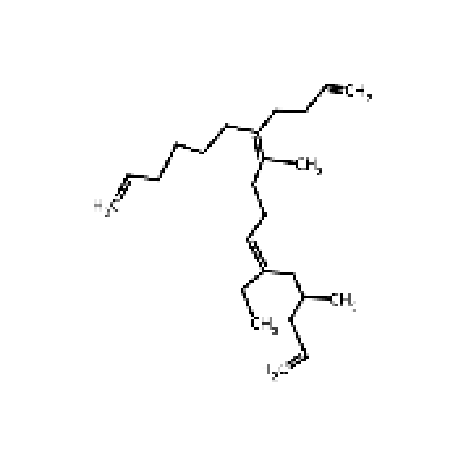 C=CCCCCC(CCC=C)=C(C)CCC=C(CC)CC(C)CC=C